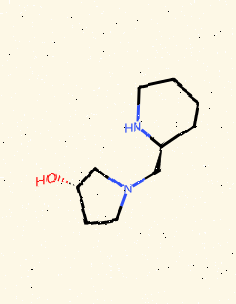 O[C@H]1CCN(C[C@@H]2CCCCN2)C1